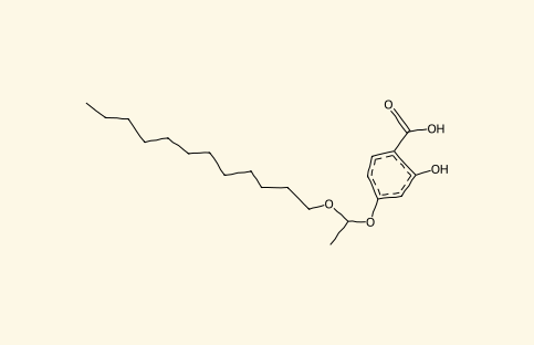 CCCCCCCCCCCCOC(C)Oc1ccc(C(=O)O)c(O)c1